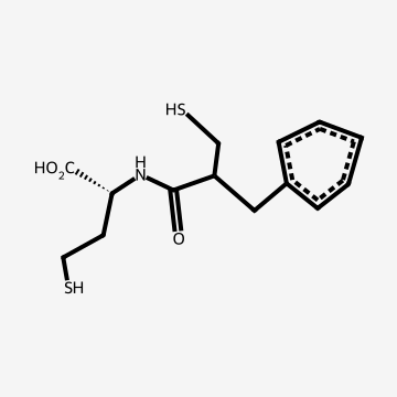 O=C(N[C@H](CCS)C(=O)O)C(CS)Cc1ccccc1